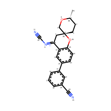 C[C@@H]1CC[C@]2(CO1)C/C(=N\C#N)c1cc(-c3cccc(C#N)c3)ccc1O2